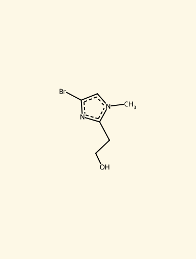 Cn1cc(Br)nc1CCO